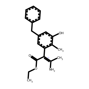 CCOC(=O)/C(=C(/C)N)c1cc(Cc2ccccc2)cc(O)c1C